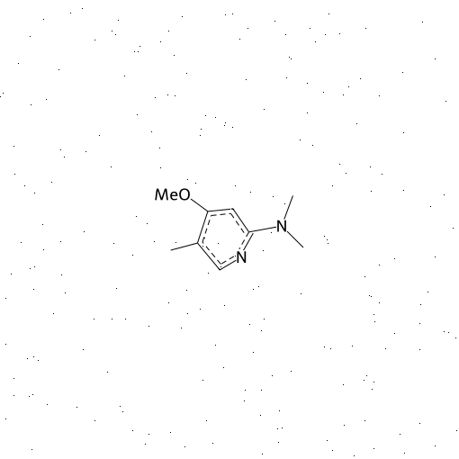 COc1cc(N(C)C)ncc1C